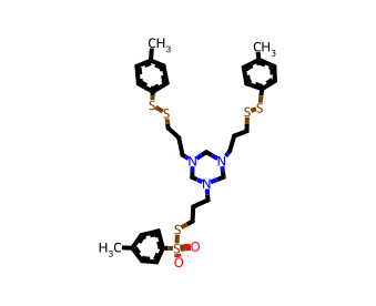 Cc1ccc(SSCCCN2CN(CCCSSc3ccc(C)cc3)CN(CCCSS(=O)(=O)c3ccc(C)cc3)C2)cc1